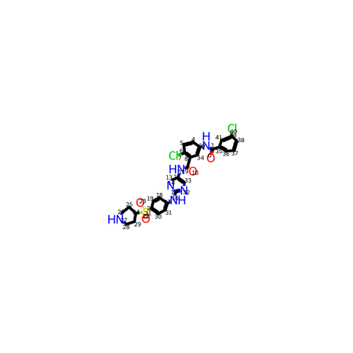 O=C(Nc1ccc(Cl)c(C(=O)Nc2cnc(Nc3ccc(S(=O)(=O)C4CCNCC4)cc3)nc2)c1)c1cccc(Cl)c1